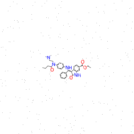 CCCC(=O)N(CCN(C)C)c1ccc(NC(=C2C(=O)Nc3cc(C(=O)OCC)ccc32)c2ccccc2)cc1